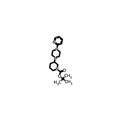 CC(C)(C)OC(=O)N1CCCC(N2CCN(c3ccccn3)CC2)C1